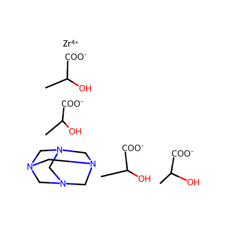 C1N2CN3CN1CN(C2)C3.CC(O)C(=O)[O-].CC(O)C(=O)[O-].CC(O)C(=O)[O-].CC(O)C(=O)[O-].[Zr+4]